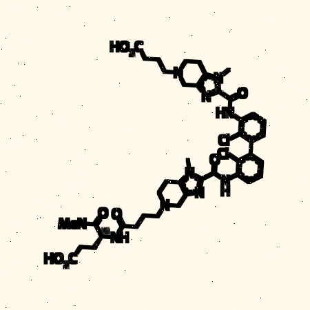 CNC(=O)[C@H](CCC(=O)O)NC(=O)CCCN1CCc2c(nc(C(=O)Nc3cccc(-c4cccc(NC(=O)c5nc6c(n5C)CCN(CCCC(=O)O)C6)c4Cl)c3Cl)n2C)C1